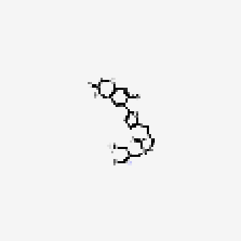 NC/C(=C\F)Cn1ncn(Cc2ccc(-c3cc4c(cc3F)OCC(=O)N4)s2)c1=O